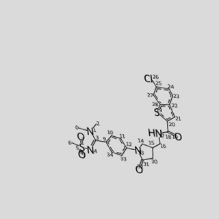 CN(C)C(=NS(C)(=O)=O)c1ccc(N2CC(CNC(=O)c3cc4ccc(Cl)cc4s3)CC2=O)cc1